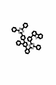 c1ccc(-c2nc(-c3ccccc3)nc(-c3ccc(-c4ccc(-c5ccccc5-c5nc(-c6ccccc6)nc(-c6cccc(-c7cccc8c7sc7ccccc78)c6)n5)cc4-c4ccccc4)cc3)n2)cc1